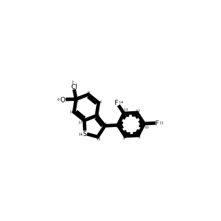 [O]C1(Cl)C=CC2=C(c3ccc(F)cc3F)CSC2=C1